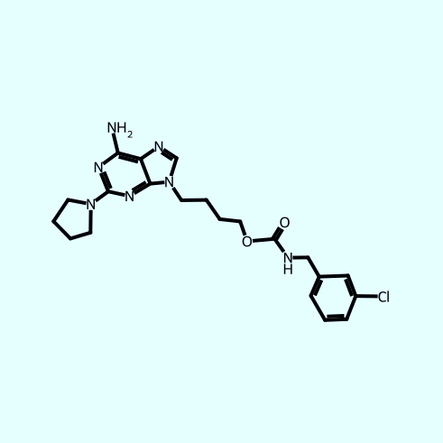 Nc1nc(N2CCCC2)nc2c1ncn2CCCCOC(=O)NCc1cccc(Cl)c1